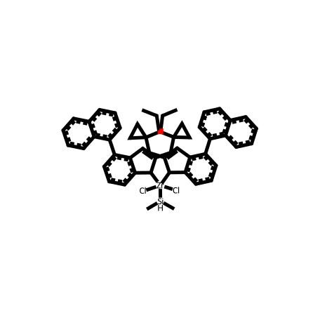 CCCC1(CC2=Cc3c(-c4cccc5ccccc45)cccc3[CH]2[Zr]([Cl])([Cl])([CH]2C(CC3(CCC)CC3)=Cc3c(-c4cccc5ccccc45)cccc32)[SiH](C)C)CC1